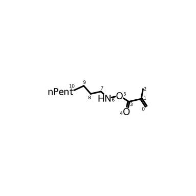 C=C(C)C(=O)ONCCCCCCCC